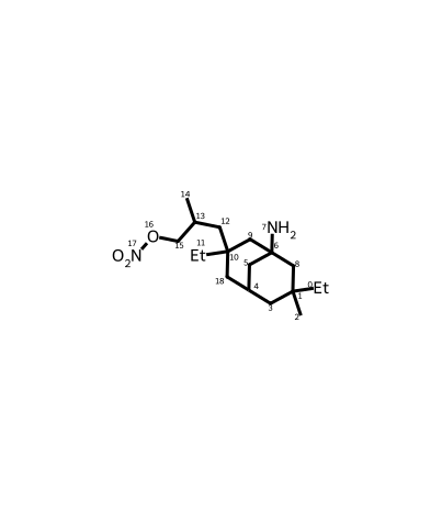 CCC1(C)CC2CC(N)(C1)CC(CC)(CC(C)CO[N+](=O)[O-])C2